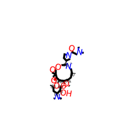 CO[C@]1(C)C[C@@H](C)CN(C)[C@H](C2CCN(C(=O)CN(C)C)C2)COC(=O)C(C)(C)C(=O)[C@H](C)[C@H]1O[C@@H]1O[C@H](C)C[C@H](N(C)C)[C@H]1O